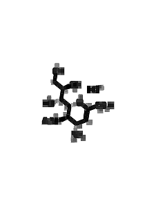 CC(=O)N[C@H]1[C@H]([C@H](O)[C@H](O)CO)OC(C(=O)O)=C[C@@H]1N.Cl